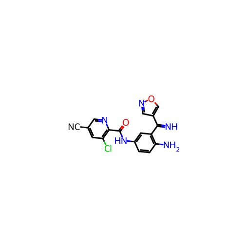 N#Cc1cnc(C(=O)Nc2ccc(N)c(C(=N)c3cnoc3)c2)c(Cl)c1